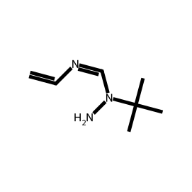 C=C/N=C\N(N)C(C)(C)C